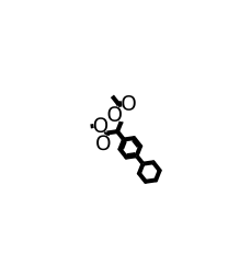 COC(=O)C(COC(C)=O)c1ccc(C2CCCCC2)cc1